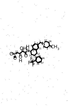 CC1CCN(Cc2ccc3c(c2)CCC[C@H]3NC(=O)[C@H](O)[C@H](O)C=S(=O)=O)CC1.FC(F)(F)c1ccccc1